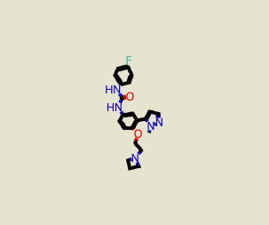 Cn1nccc1-c1cc(NC(=O)Nc2ccc(F)cc2)ccc1OCCN1CCC1